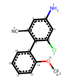 N#Cc1cc(N)cc(Cl)c1-c1ccccc1OC(F)(F)F